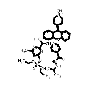 CC(C)NNC(=O)c1ccncc1.CCOP(=S)(OCC)Oc1cc(C)nc(C(C)C)n1.CN1CCC(=C2c3ccccc3Sc3ccccc32)CC1